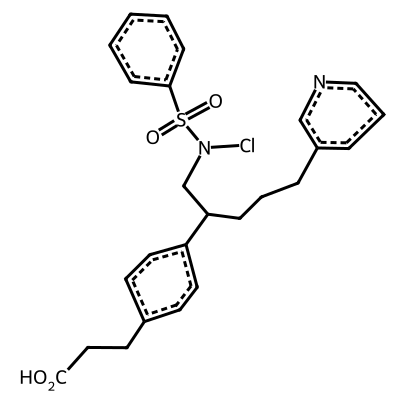 O=C(O)CCc1ccc(C(CCCc2cccnc2)CN(Cl)S(=O)(=O)c2ccccc2)cc1